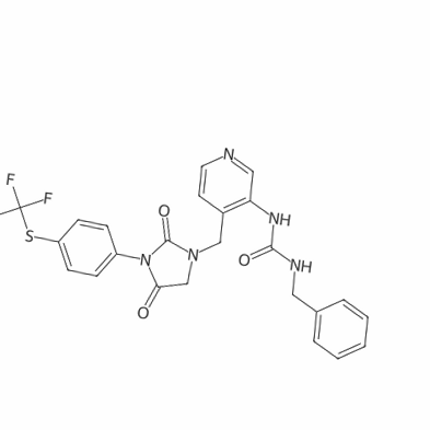 O=C(NCc1ccccc1)Nc1cnccc1CN1CC(=O)N(c2ccc(SC(F)(F)F)cc2)C1=O